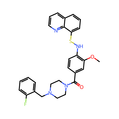 COc1cc(C(=O)N2CCN(Cc3ccccc3F)CC2)ccc1NSc1cccc2cccnc12